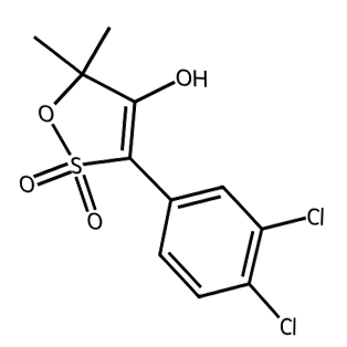 CC1(C)OS(=O)(=O)C(c2ccc(Cl)c(Cl)c2)=C1O